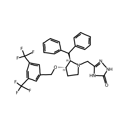 O=c1[nH]nc(CN2CC[C@H](OCc3cc(C(F)(F)F)cc(C(F)(F)F)c3)[C@H]2C(c2ccccc2)c2ccccc2)[nH]1